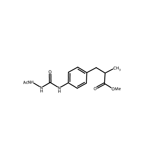 COC(=O)C(C)Cc1ccc(NC(=O)NNC(C)=O)cc1